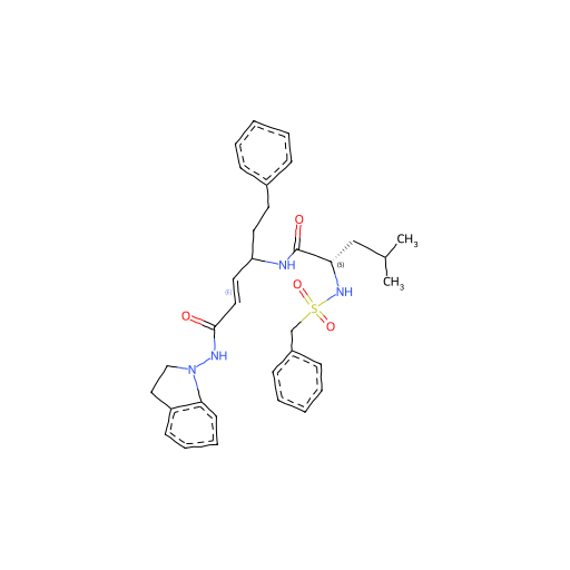 CC(C)C[C@H](NS(=O)(=O)Cc1ccccc1)C(=O)NC(/C=C/C(=O)NN1CCc2ccccc21)CCc1ccccc1